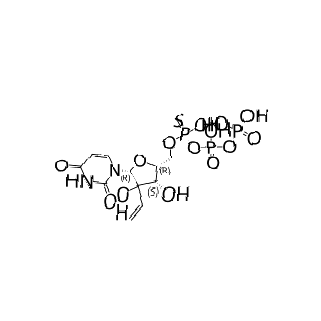 C=CC1(O)[C@@H](O)[C@@H](COP(O)(=S)OP(=O)(O)OP(=O)(O)O)O[C@H]1n1ccc(=O)[nH]c1=O